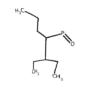 CCCC(P=O)C(CC)CC